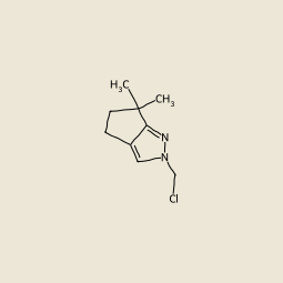 CC1(C)CCc2cn(CCl)nc21